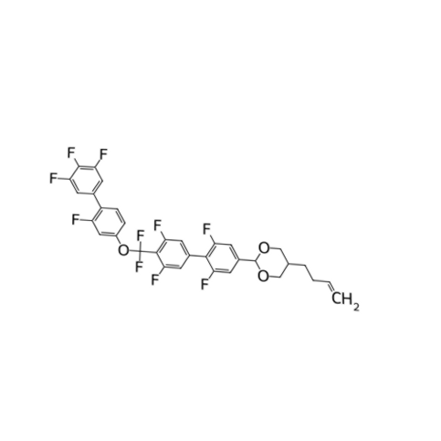 C=CCCC1COC(c2cc(F)c(-c3cc(F)c(C(F)(F)Oc4ccc(-c5cc(F)c(F)c(F)c5)c(F)c4)c(F)c3)c(F)c2)OC1